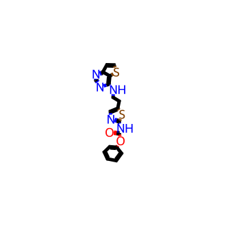 O=C(Nc1ncc(CCNc2ncnc3ccsc23)s1)Oc1ccccc1